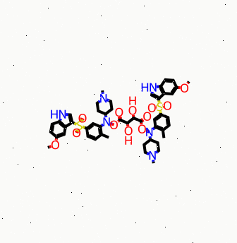 COc1ccc2[nH]cc(S(=O)(=O)c3ccc(C)c(N(OC(=O)C(O)C(O)C(=O)ON(c4cc(S(=O)(=O)c5c[nH]c6ccc(OC)cc56)ccc4C)C4CCN(C)CC4)C4CCN(C)CC4)c3)c2c1